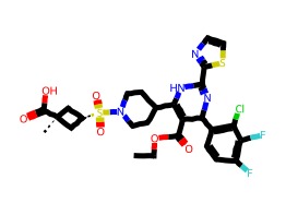 CCOC(=O)C1=C(C2CCN(S(=O)(=O)[C@H]3C[C@](C)(C(=O)O)C3)CC2)NC(c2nccs2)=NC1c1ccc(F)c(F)c1Cl